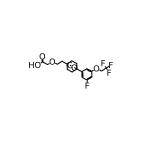 O=C(O)COCCC12CCC(c3cc(F)cc(OCC(F)(F)F)c3)(CC1)OC2